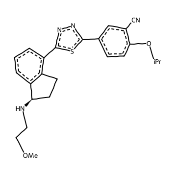 COCCN[C@@H]1CCc2c(-c3nnc(-c4ccc(OC(C)C)c(C#N)c4)s3)cccc21